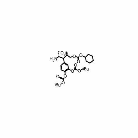 CCC(C)OC(=O)Oc1ccc(C(C(C)COC(=O)OC2CCCCC2)[C@H](N)C(=O)O)cc1OC(=O)OC(C)CC